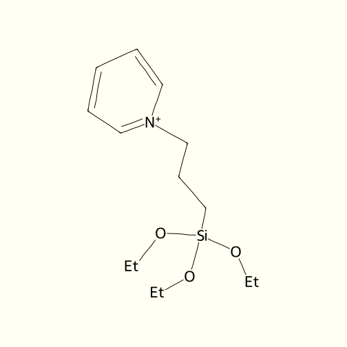 CCO[Si](CCC[n+]1ccccc1)(OCC)OCC